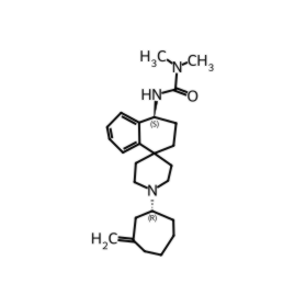 C=C1CCCC[C@@H](N2CCC3(CC[C@H](NC(=O)N(C)C)c4ccccc43)CC2)C1